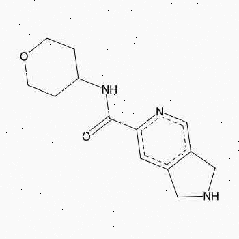 O=C(NC1CCOCC1)c1cc2c(cn1)CNC2